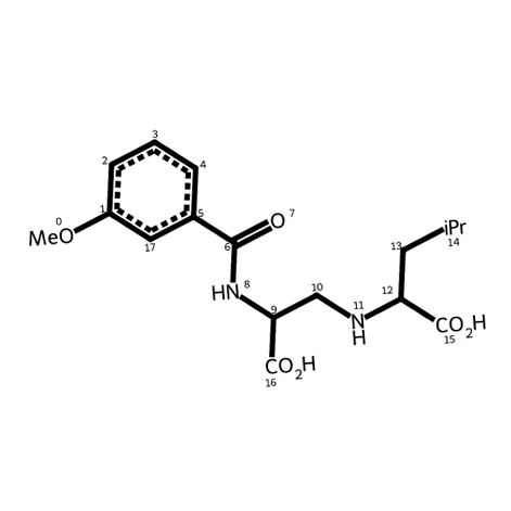 COc1cccc(C(=O)NC(CNC(CC(C)C)C(=O)O)C(=O)O)c1